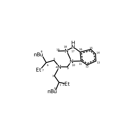 CCCCC(CC)CN(CC(CC)CCCC)CN1c2ccccc2NN1C